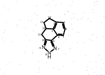 c1cc2c3c(c1)-c1n[nH]nc1CC3CC2